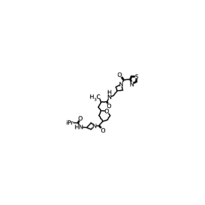 CC(C)C(=O)NC1CN(C(=O)C2CCOC(CC(C)C(=O)NCC3CN(C(=O)c4cscn4)C3)C2)C1